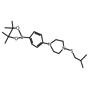 CC(C)CSN1CCN(c2ccc(B3OC(C)(C)C(C)(C)O3)cc2)CC1